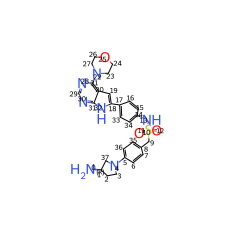 N[C@@H]1CCN(c2ccc(CS(=O)(=O)Nc3ccc(-c4cc5c(N6CCOCC6)ncnc5[nH]4)cc3)cc2)C1